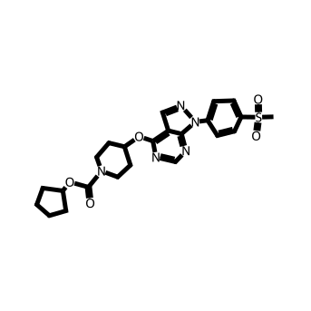 CS(=O)(=O)c1ccc(-n2ncc3c(OC4CCN(C(=O)OC5CCCC5)CC4)ncnc32)cc1